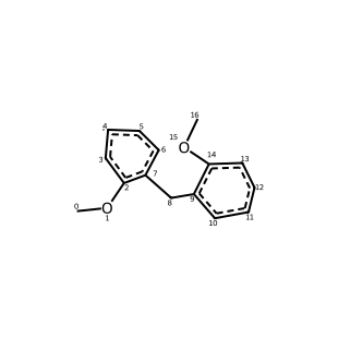 COc1c[c]ccc1Cc1ccccc1OC